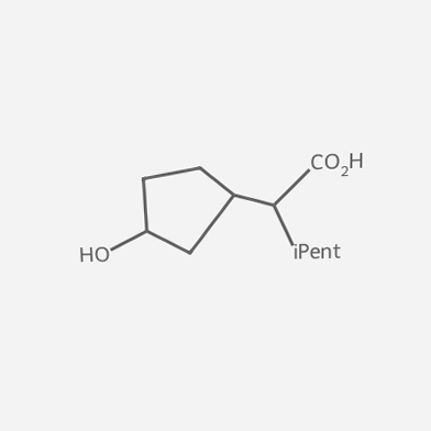 CCCC(C)C(C(=O)O)C1CCC(O)C1